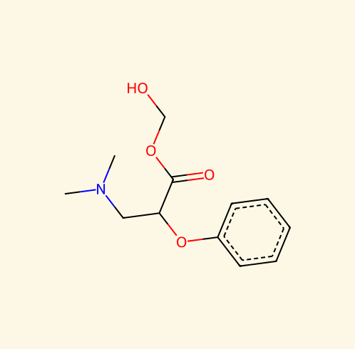 CN(C)CC(Oc1ccccc1)C(=O)OCO